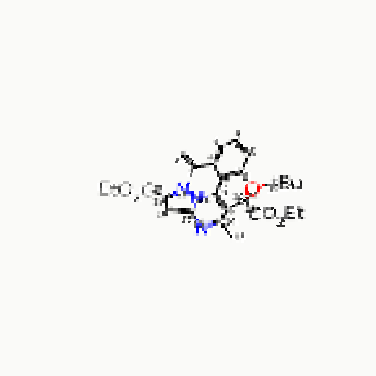 C=Cc1ccccc1-c1c([C@H](OC(C)(C)C)C(=O)OCC)c(C)nc2cc(C(=O)OCC)nn12